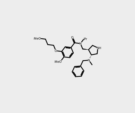 COCCCOc1cc(C(=O)N(C[C@H]2CNC[C@@H]2N(C)Cc2ccccc2)C(C)C)ccc1OC